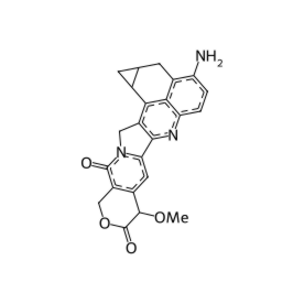 COC1C(=O)OCc2c1cc1n(c2=O)Cc2c-1nc1ccc(N)c3c1c2C1CC1C3